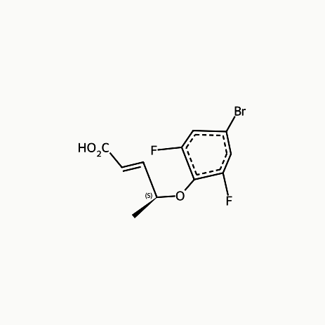 C[C@@H](C=CC(=O)O)Oc1c(F)cc(Br)cc1F